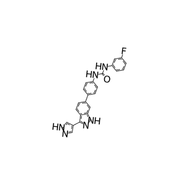 O=C(Nc1ccc(-c2ccc3c(-c4cn[nH]c4)n[nH]c3c2)cc1)Nc1cccc(F)c1